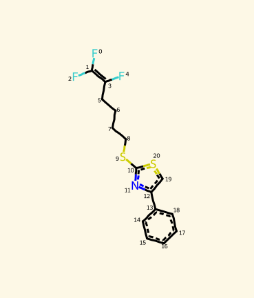 FC(F)=C(F)CCCCSc1nc(-c2ccccc2)cs1